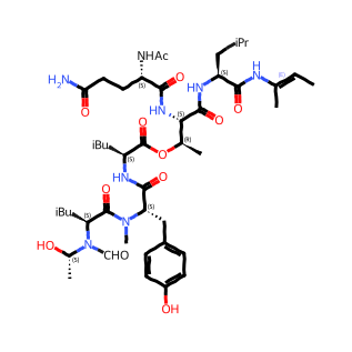 C/C=C(\C)NC(=O)[C@H](CC(C)C)NC(=O)[C@@H](NC(=O)[C@H](CCC(N)=O)NC(C)=O)[C@@H](C)OC(=O)[C@@H](NC(=O)[C@H](Cc1ccc(O)cc1)N(C)C(=O)[C@H](C(C)CC)N(C=O)[C@H](C)O)C(C)CC